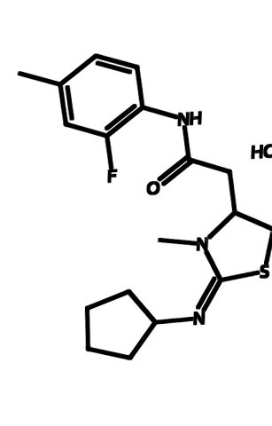 Cc1ccc(NC(=O)CC2CSC(=NC3CCCC3)N2C)c(F)c1.Cl